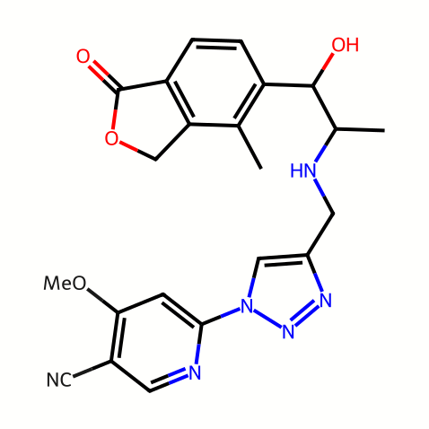 COc1cc(-n2cc(CNC(C)C(O)c3ccc4c(c3C)COC4=O)nn2)ncc1C#N